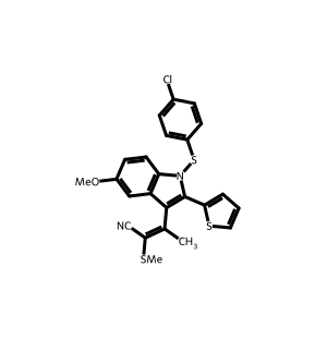 COc1ccc2c(c1)c(/C(C)=C(\C#N)SC)c(-c1cccs1)n2Sc1ccc(Cl)cc1